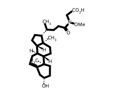 CON(CC(=O)O)C(=O)CCC(C)[C@H]1CC[C@H]2[C@@H]3CC=C4C[C@@H](O)CC[C@]4(C)[C@H]3CC[C@]12C